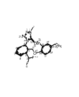 Cn1nnn(-c2cccc(C(F)F)c2COc2ccc(O)cc2Br)c1=O